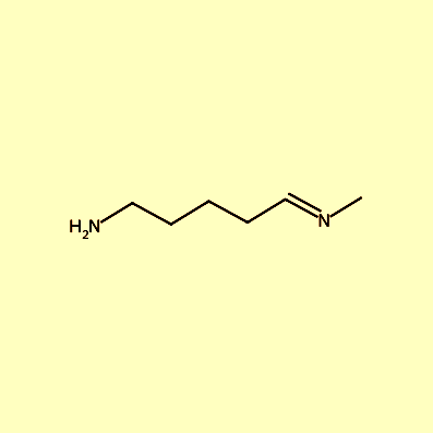 C/N=C/CCCCN